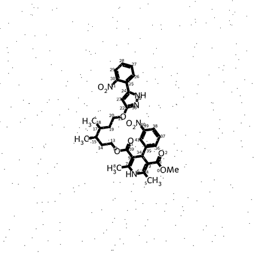 COC(=O)C1=C(C)NC(C)=C(C(=O)OCCC(C)C(C)CCOc2cc(-c3ccccc3[N+](=O)[O-])[nH]n2)C1c1cccc([N+](=O)[O-])c1